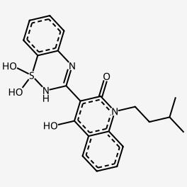 CC(C)CCn1c(=O)c(C2=Nc3ccccc3S(O)(O)N2)c(O)c2ccccc21